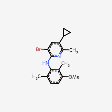 COc1ccc(C)c(Nc2nc(C)c(C3CC3)cc2Br)c1C